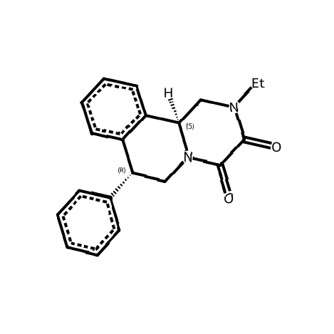 CCN1C[C@@H]2c3ccccc3[C@@H](c3ccccc3)CN2C(=O)C1=O